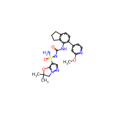 COc1cc(-c2ccc3c(c2NC(=O)N=S(N)(=O)c2cnn4c2OC(C)(C)C4)CCC3)ccn1